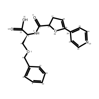 O=C(N[C@@H](COCc1ccccc1)C(=O)O)C1CC=C(c2ccncc2)O1